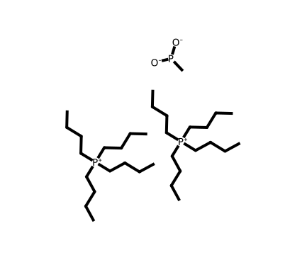 CCCC[P+](CCCC)(CCCC)CCCC.CCCC[P+](CCCC)(CCCC)CCCC.CP([O-])[O-]